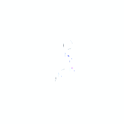 CC/C(C)=C/NC=CC/C(=N\N(C)C1=CC=CCC=C1)ONC